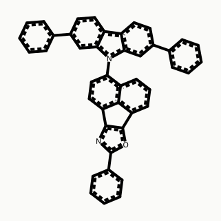 c1ccc(-c2ccc3c4ccc(-c5ccccc5)cc4n(-c4ccc5c6c(cccc46)-c4oc(-c6ccccc6)nc4-5)c3c2)cc1